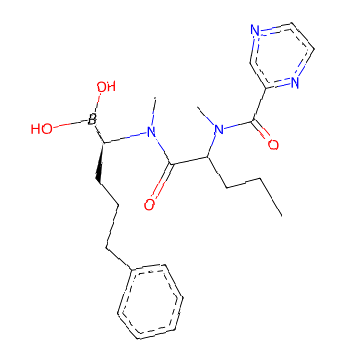 CCCC(C(=O)N(C)[C@@H](CCCc1ccccc1)B(O)O)N(C)C(=O)c1cnccn1